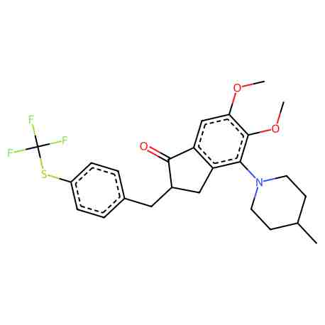 COc1cc2c(c(N3CCC(C)CC3)c1OC)CC(Cc1ccc(SC(F)(F)F)cc1)C2=O